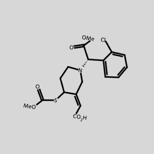 COC(=O)SC1CCN([C@H](C(=O)OC)c2ccccc2Cl)C/C1=C/C(=O)O